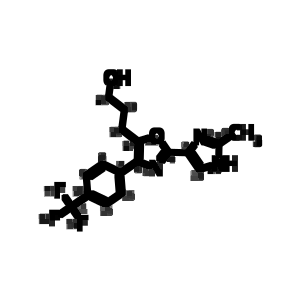 Cc1nc(-c2nc(-c3ccc(C(F)(F)F)cc3)c(CCCO)o2)c[nH]1